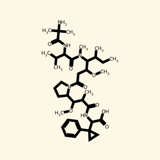 CCC(C)C(C(CC(=O)N1CCCC1C(OC)C(C)C(=O)NC(C(=O)O)C1(c2ccccc2)CC1)OC)N(C)C(=O)C(NC(=O)C(C)(C)N)C(C)C